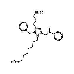 CCCCCCCCCCCCCCCCC[n+]1c(CC(C)c2ccccc2)cn(CCCCCCCCCCCCC)c1Cc1ccccc1